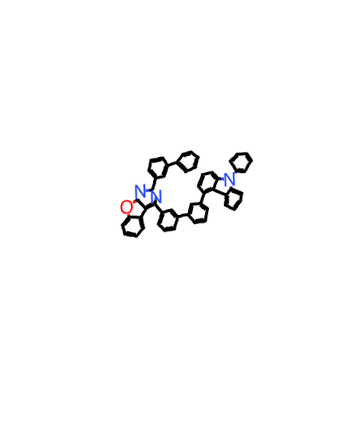 c1ccc(-c2cccc(-c3nc(-c4cccc(-c5cccc(-c6cccc7c6c6ccccc6n7-c6ccccc6)c5)c4)c4c(n3)oc3ccccc34)c2)cc1